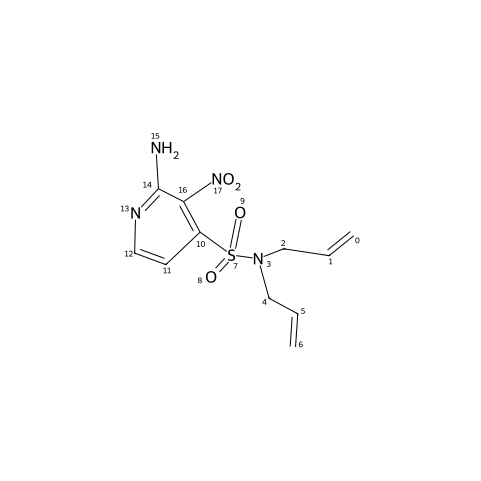 C=CCN(CC=C)S(=O)(=O)c1ccnc(N)c1[N+](=O)[O-]